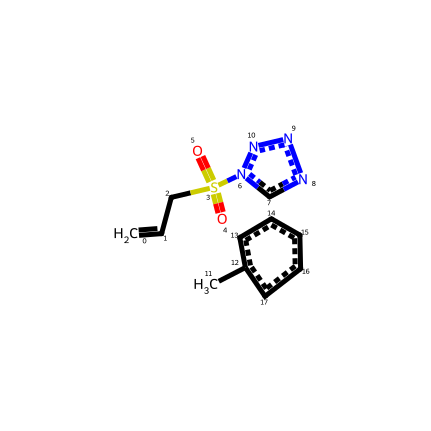 C=CCS(=O)(=O)n1cnnn1.Cc1ccccc1